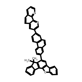 CC1(C)c2ccccc2-c2c1c(-c1ccc3c(ccc4cc(-c5cnc6c(ccc7cccnc76)c5)ccc43)c1)cc1c2oc2ccccc21